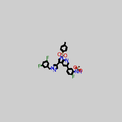 Cc1ccc(S(=O)(=O)n2cc(-c3cnn(Cc4cc(F)cc(F)c4)c3)c3cc(-c4ccc(F)c(NS(C)(=O)=O)c4)cnc32)cc1